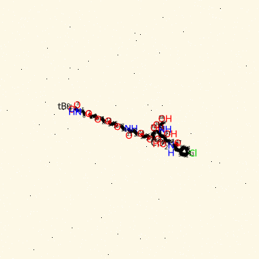 CC(C)(C)OC(=O)NCCOCCOCCOCCOCCNC(=O)CCOCCO[C@]1(C(=O)O)C[C@H](O)[C@@H](NC(=O)CO)[C@H]([C@H](O)[C@H](O)CNC(=O)Cc2ccc(Cl)cc2)O1